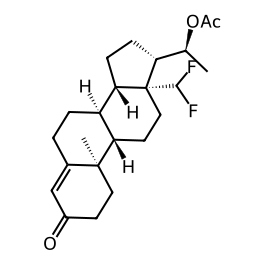 CC(=O)O[C@@H](C)[C@H]1CC[C@H]2[C@@H]3CCC4=CC(=O)CC[C@]4(C)[C@H]3CC[C@]12C(F)F